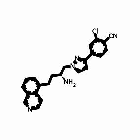 N#Cc1ccc(-c2ccn(C[C@H](N)CCc3cccc4cnccc34)n2)cc1Cl